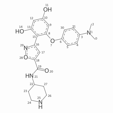 CN(C)c1ccc(Oc2cc(O)cc(O)c2-c2cc(C(=O)NC3CCNCC3)on2)cc1